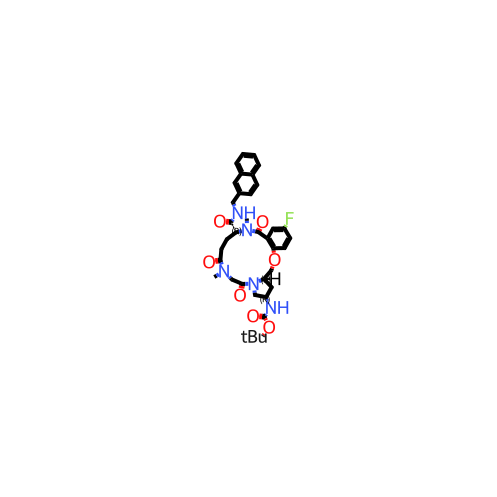 CN1CC(=O)N2C[C@H](NC(=O)OC(C)(C)C)C[C@H]2COc2ccc(F)cc2C(=O)N(C)[C@@H](C(=O)NCc2ccc3ccccc3c2)CCC1=O